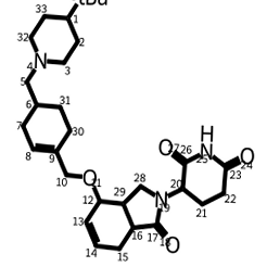 CC(C)(C)C1CCN(CC2CC=C(COC3C=CCC4C(=O)N(C5CCC(=O)NC5=O)CC34)CC2)CC1